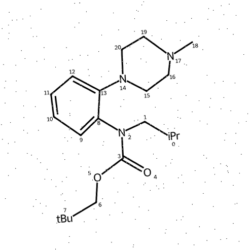 CC(C)CN(C(=O)OCC(C)(C)C)c1ccccc1N1CCN(C)CC1